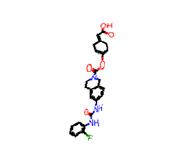 O=C(O)C=C1CCC(OC(=O)N2CCc3cc(NC(=O)Nc4ccccc4F)ccc3C2)CC1